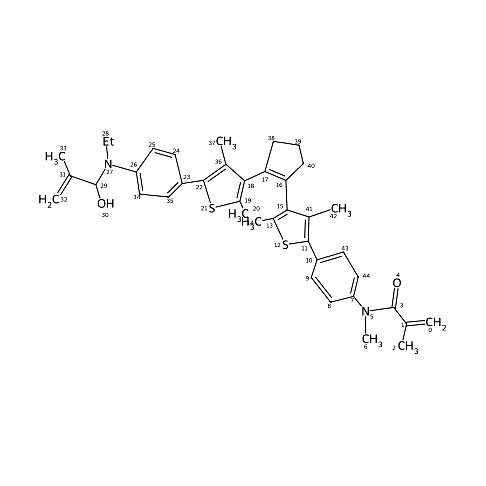 C=C(C)C(=O)N(C)c1ccc(-c2sc(C)c(C3=C(c4c(C)sc(-c5ccc(N(CC)C(O)C(=C)C)cc5)c4C)CCC3)c2C)cc1